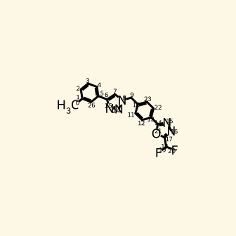 Cc1cccc(-c2cn(Cc3ccc(-c4nnc(C(F)F)o4)cc3)nn2)c1